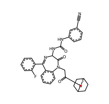 N#Cc1cccc(NC(=O)NC2N=C(c3ccccc3F)c3ccccc3N(CC(=O)N3CC4CCC(CC4)C3)C2=O)c1